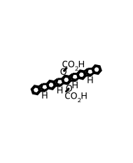 O=C(O)COc1c2c(c(OCC(=O)O)c3c1C1C[C@H]3c3cc4c(cc31)C1C[C@H]4c3ccccc31)[C@@H]1CC2c2cc3c(cc21)[C@@H]1CC3c2ccccc21